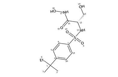 CCC(C)(C)c1ccc(S(=O)(=O)N[C@@H](CO)C(=O)NO)cc1